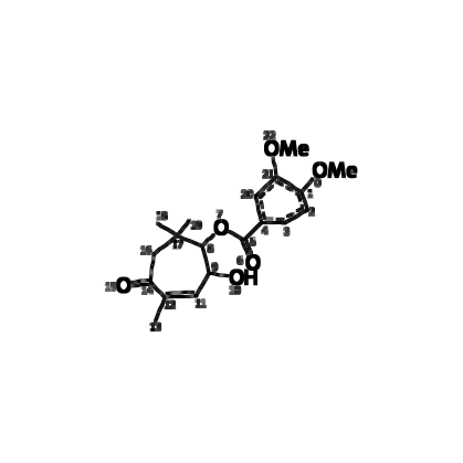 COc1ccc(C(=O)OC2C(O)C=C(C)C(=O)CC2(C)C)cc1OC